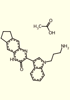 CC(=O)O.NCCCn1cc(-c2nc3cc4c(cc3[nH]c2=O)CCC4)c2ccccc21